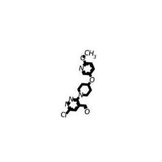 COc1ccc(OC2CCN(c3nnc(Cl)cc3C=O)CC2)cn1